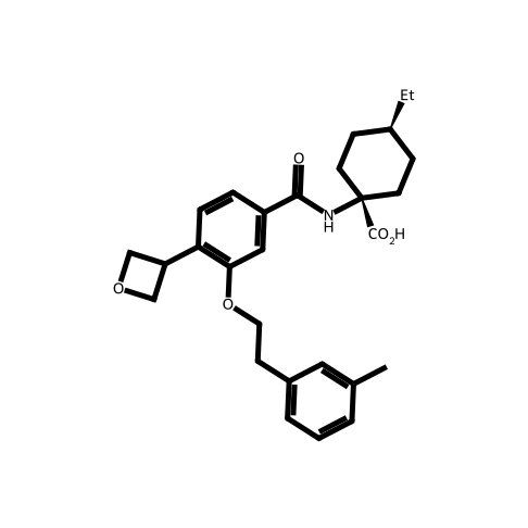 CC[C@H]1CC[C@@](NC(=O)c2ccc(C3COC3)c(OCCc3cccc(C)c3)c2)(C(=O)O)CC1